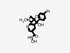 CC(C)c1ccc(C(O)(c2cncc(C(=O)NO)c2)C2(C)CN(C)C2)cc1